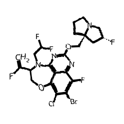 C=C(F)C1COc2c(Cl)c(Br)c(F)c3nc(OC[C@@]45CCCN4C[C@H](F)C5)nc(c23)N1CC(F)F